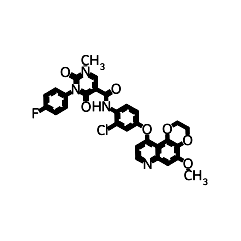 COc1cc2nccc(Oc3ccc(NC(=O)c4cn(C)c(=O)n(-c5ccc(F)cc5)c4=O)c(Cl)c3)c2c2c1OCCO2